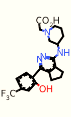 O=C(O)CN1CCCC(Nc2nnc(-c3ccc(C(F)(F)F)cc3O)c3c2CCC3)C1